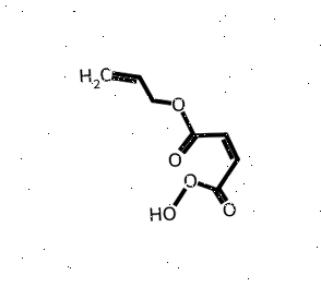 C=CCOC(=O)/C=C\C(=O)OO